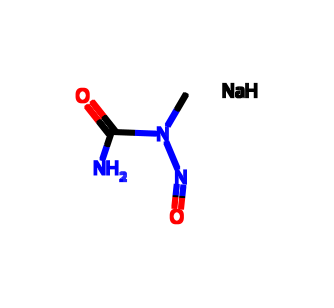 CN(N=O)C(N)=O.[NaH]